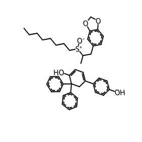 CCCCCCCC[S+]([O-])C(C)Cc1ccc2c(c1)OCO2.OC1=CC=C(c2ccc(O)cc2)CC1(c1ccccc1)c1ccccc1